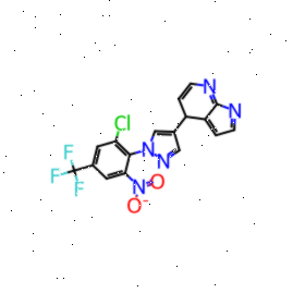 O=[N+]([O-])c1cc(C(F)(F)F)cc(Cl)c1-n1cc(C2C=CN=C3N=CC=C32)cn1